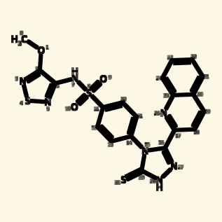 COc1nsnc1NS(=O)(=O)c1ccc(-n2c(-c3ccc4ccccc4n3)n[nH]c2=S)cc1